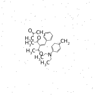 C=C1C=CC(N(CC)CC)=CC1.CC(=O)C(=Cc1ccccc1)C(C)=O.CC(C)=O